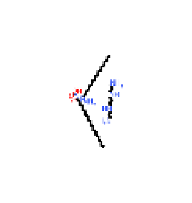 CCCCCCCCCCCCCCCCCCC(C(=O)NC(=O)O)N(N)CCCCCCCCCCCCCCCCCC.NCCCNCCCCNCCCN